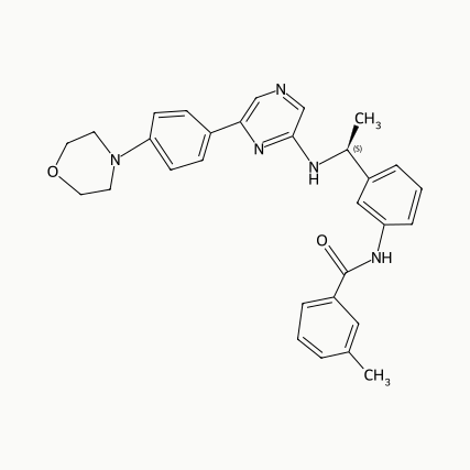 Cc1cccc(C(=O)Nc2cccc([C@H](C)Nc3cncc(-c4ccc(N5CCOCC5)cc4)n3)c2)c1